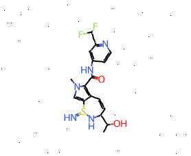 CC(O)C1C=Cc2c(cn(C)c2C(=O)Nc2ccnc(C(F)F)c2)S(=N)N1